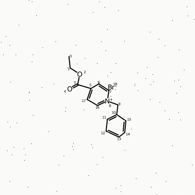 CCOC(=O)c1cc[n+](Cc2ccccc2)cc1.[Br-]